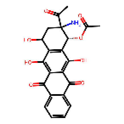 CC(=O)O[C@@H]1c2c(O)c3c(c(O)c2C(O)CC1(N)C(C)=O)C(=O)c1ccccc1C3=O